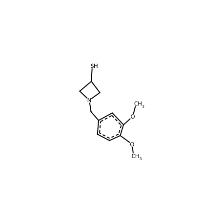 COc1ccc(CN2CC(S)C2)cc1OC